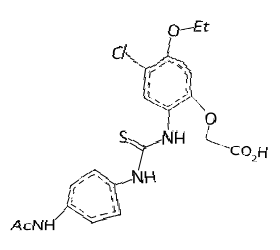 CCOc1cc(OCC(=O)O)c(NC(=S)Nc2ccc(NC(C)=O)cc2)cc1Cl